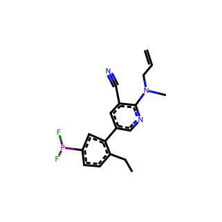 C=CCN(C)c1ncc(-c2cc(P(F)F)ccc2CC)cc1C#N